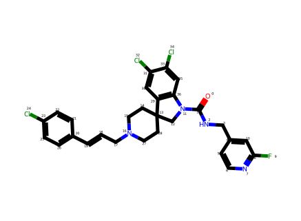 O=C(NCc1ccnc(F)c1)N1CC2(CCN(CC=Cc3ccc(Cl)cc3)CC2)c2cc(Cl)c(Cl)cc21